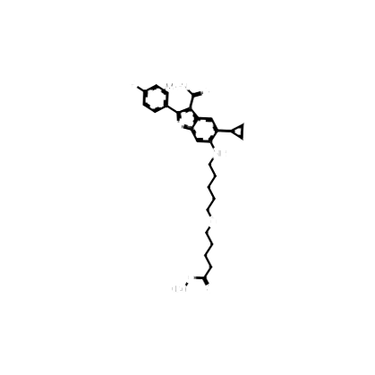 CNC(=O)c1c(-c2ccc(F)cc2)oc2cc(NCCCCCOCCCCC(=O)OC(C)(C)C)c(C3CC3)cc12